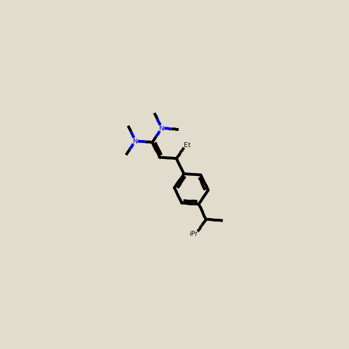 CCC(C=C(N(C)C)N(C)C)c1ccc(C(C)C(C)C)cc1